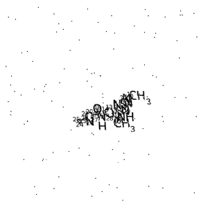 CCn1cc2ncc(N[C@@H](C)c3cccc(NC(=O)c4ccc(C5CC5)nc4)c3)nc2n1